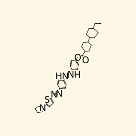 CCC1CCC(C2CCC(C(=O)Oc3ccc(NNc4ccc(N=Nc5ccc(N6CCCC6)s5)cc4)cc3)CC2)CC1